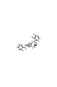 Cc1cccc(C(CCCCCCc2ccccc2)OC(=O)O)c1C